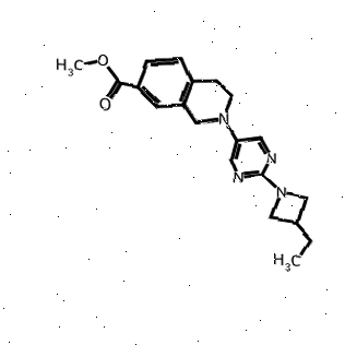 CCC1CN(c2ncc(N3CCc4ccc(C(=O)OC)cc4C3)cn2)C1